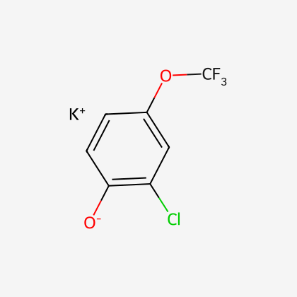 [K+].[O-]c1ccc(OC(F)(F)F)cc1Cl